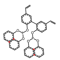 C=Cc1ccc(OP(Oc2ccccc2)Oc2ccccc2)c(-c2cc(C=C)ccc2OP(Oc2ccccc2)Oc2ccccc2)c1